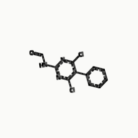 O=CNc1nc(Cl)c(-c2ccccc2)c(Cl)n1